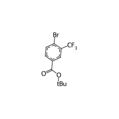 CC(C)(C)OC(=O)c1ccc(Br)c(C(F)(F)F)c1